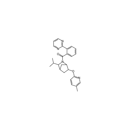 Cc1ccc(OC2CC3CC2N(C(=O)c2ccccc2-c2ncccn2)C3C(C)C)nc1